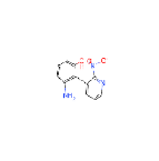 Nc1cccc(O)c1-c1cccnc1[N+](=O)[O-]